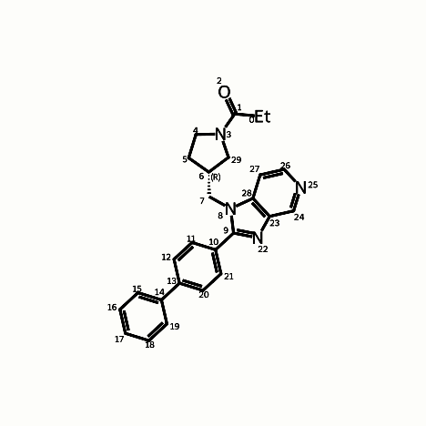 CCC(=O)N1CC[C@@H](Cn2c(-c3ccc(-c4ccccc4)cc3)nc3cnccc32)C1